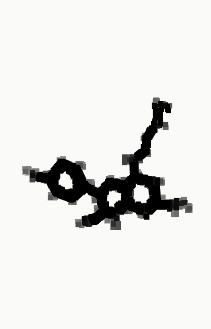 CCCOCCNc1nc(N)nc2[nH]c(=O)c(-c3ccc(F)cc3)cc12